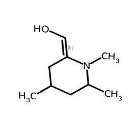 CC1C/C(=C\O)N(C)C(C)C1